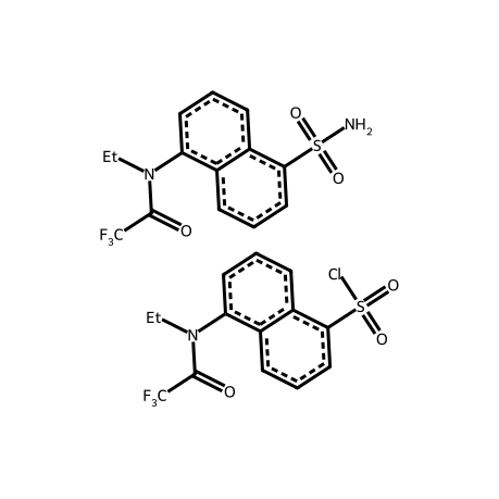 CCN(C(=O)C(F)(F)F)c1cccc2c(S(=O)(=O)Cl)cccc12.CCN(C(=O)C(F)(F)F)c1cccc2c(S(N)(=O)=O)cccc12